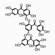 O=C(c1cc(O)c(O)cc1O)c1cc(OOc2c(O)cc(OOc3cc(O)cc(O)c3C(=O)c3cc(O)c(O)c(O)c3)cc2C(=O)c2cc(O)c(O)cc2O)c(O)cc1O